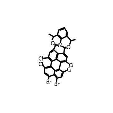 CC(C)c1cccc(C(C)C)c1N1C(=O)c2cc(Cl)c3c4c(Cl)cc(Br)c5c(Br)cc(Cl)c(c6c(Cl)cc(c2c36)C1=O)c54